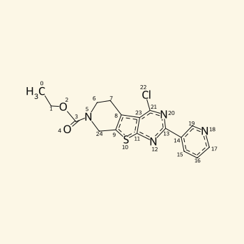 CCOC(=O)N1CCc2c(sc3nc(-c4cccnc4)nc(Cl)c23)C1